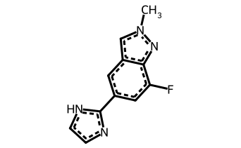 Cn1cc2cc(-c3ncc[nH]3)cc(F)c2n1